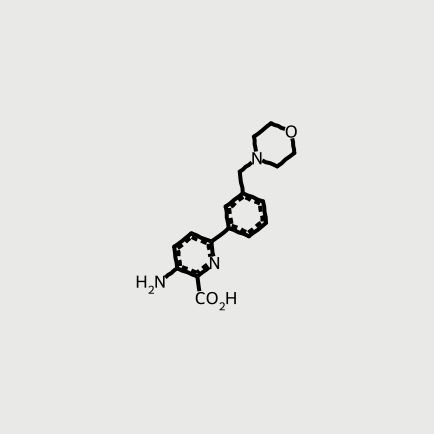 Nc1ccc(-c2cccc(CN3CCOCC3)c2)nc1C(=O)O